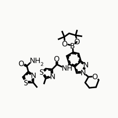 Cc1nc(C(=O)Nc2cc(B3OC(C)(C)CC(C)(C)O3)cc3nn(C4CCCCO4)cc23)cs1.Cc1nc(C(N)=O)cs1